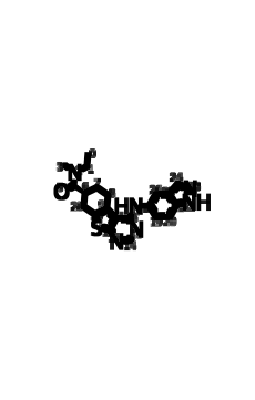 CCN(C)C(=O)[C@H]1CCc2c(sc3ncnc(Nc4ccc5[nH]ncc5c4)c23)C1